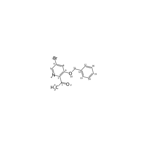 CC(=O)c1ncc(Br)cc1OCc1ccccc1